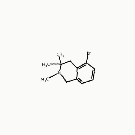 [CH2]N1Cc2cccc(Br)c2CC1(C)C